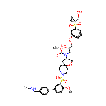 CCOc1ccc(-c2ccc(CNC(C)C)cc2)cc1S(=O)(=O)N1CCC2(CC1)C[C@@H](N(C[C@H](O)COc1cccc(S(=O)(=O)C3(CO)CC3)c1)C(=O)OC(C)(C)C)CO2